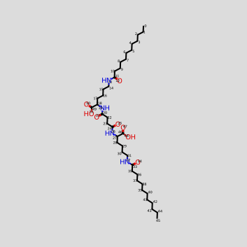 CCCCCCCCCCCC(=O)NCCCCC(NC(=O)CCC(=O)NC(CCCCNC(=O)CCCCCCCCCCC)C(=O)O)C(=O)O